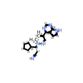 C=C(/C=N\N(C)[C@H](CC#N)C1CCCC1)c1ncnc2[nH]ccc12